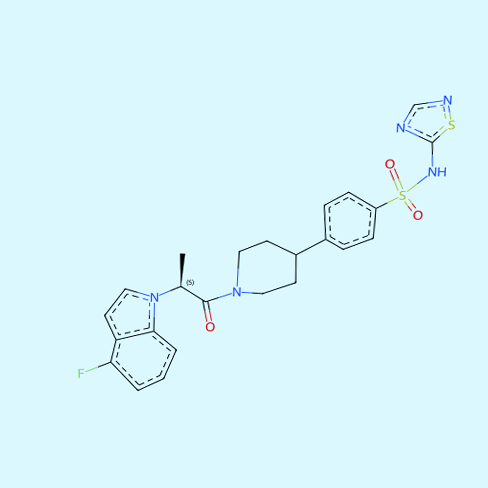 C[C@@H](C(=O)N1CCC(c2ccc(S(=O)(=O)Nc3ncns3)cc2)CC1)n1ccc2c(F)cccc21